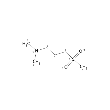 CN(C)CCCS(C)(=O)=O